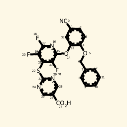 N#Cc1ccc(OCc2ccccc2)c(Oc2nc(F)c(F)c(Sc3ncc(C(=O)O)cn3)c2F)c1